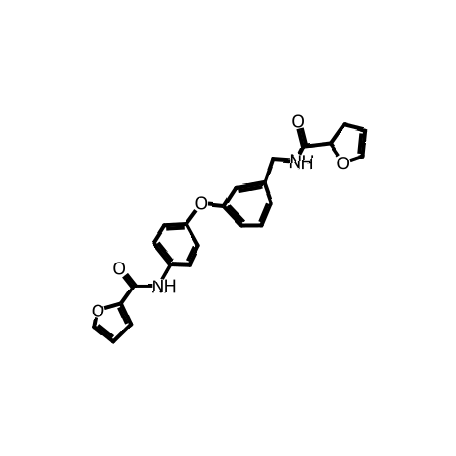 O=C(Nc1ccc(Oc2cccc(CNC(=O)C3CC=CO3)c2)cc1)c1ccco1